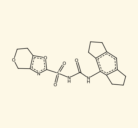 O=C(Nc1c2c(cc3c1CCC3)CCC2)NS(=O)(=O)c1nc2c(o1)CCOC2